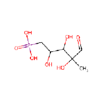 CC(O)(C=O)C(O)C(O)CP(=O)(O)O